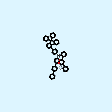 c1ccc(-c2ccc(-c3ccc(N(c4ccc(-c5cccc6c5-c5ccccc5C6(c5ccccc5)c5ccccc5)cc4)c4ccccc4-c4ccc5oc6ccccc6c5c4)cc3)cc2)cc1